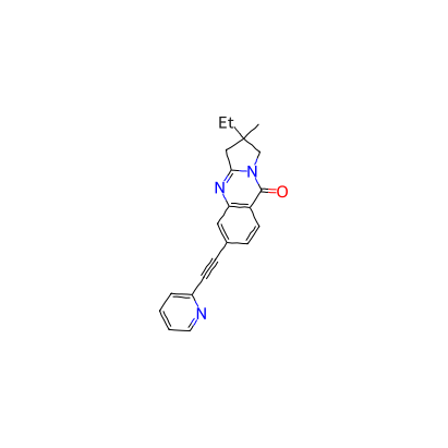 CCC1(C)Cc2nc3cc(C#Cc4ccccn4)ccc3c(=O)n2C1